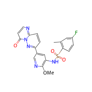 COc1ncc(-c2ccc3nccc(=O)n3n2)cc1NS(=O)(=O)c1ccc(F)cc1C